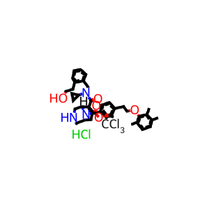 Cc1ccc(C)c(OCCc2ccc(C3=C(C(=O)N(Cc4ccccc4CCO)C4CC4)[C@H]4CNCC(C3)N4C(=O)OC(C)(C)C(Cl)(Cl)Cl)cc2)c1C.Cl